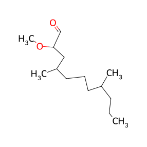 CCCC(C)CCCC(C)CC(C=O)OC